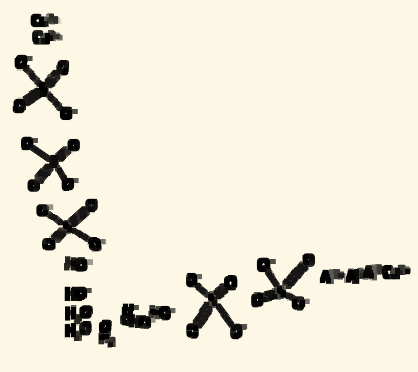 O.O.O.O=S(=O)([O-])[O-].O=S(=O)([O-])[O-].O=S(=O)([O-])[O-].O=S(=O)([O-])[O-].O=S(=O)([O-])[O-].[Al+3].[Al+3].[Al+3].[Cu+2].[Cu+2].[Cu+2].[OH-].[OH-].[OH-].[OH-].[OH-]